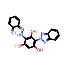 N=C1C=CC=C/C1=N/Nc1c(O)cc(O)c(-n2nc3ccccc3n2)c1O